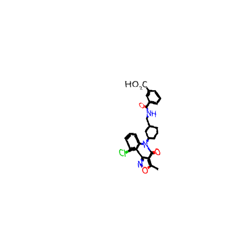 Cc1onc2c1c(=O)n(C1CCCC(CNC(=O)c3cccc(C(=O)O)c3)C1)c1cccc(Cl)c21